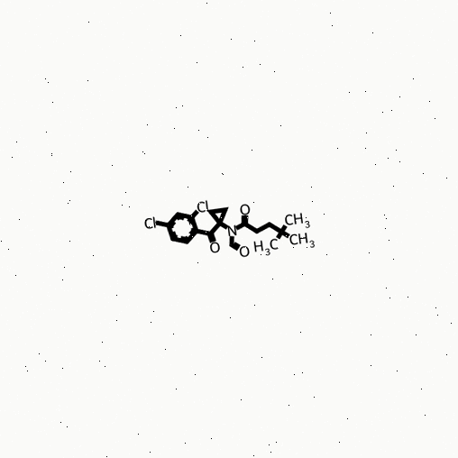 CC(C)(C)CCC(=O)N(C=O)C1(C(=O)c2ccc(Cl)cc2Cl)CC1